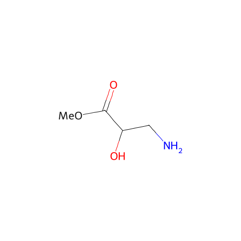 COC(=O)C(O)CN